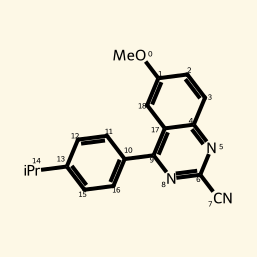 COc1ccc2nc(C#N)nc(-c3ccc(C(C)C)cc3)c2c1